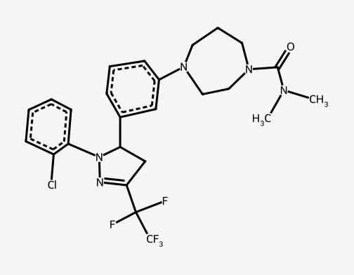 CN(C)C(=O)N1CCCN(c2cccc(C3CC(C(F)(F)C(F)(F)F)=NN3c3ccccc3Cl)c2)CC1